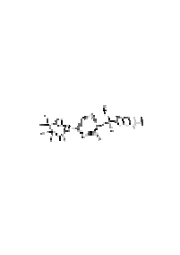 Cc1cc(B2OC(C)(C)C(C)(C)O2)ccc1C(F)(F)C(=O)O